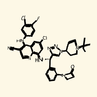 CC(C)(C)N1CCC(n2cc([C@@H](Nc3cc(Cl)cc4c(Nc5ccc(F)c(Cl)c5)c(C#N)cnc34)c3cccc(N4CCC4=O)c3)nn2)CC1